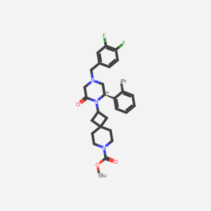 CC(C)c1ccccc1[C@@H]1CN(Cc2ccc(F)c(F)c2)CC(=O)N1C1CC2(CCN(C(=O)OC(C)(C)C)CC2)C1